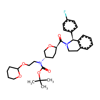 CC(C)(C)OC(=O)N(CCOC1CCCCO1)[C@H]1CC[C@H](C(=O)N2CCc3ccccc3[C@@H]2c2ccc(F)cc2)OC1